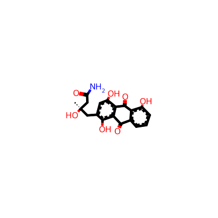 C[C@](O)(CC(N)=O)Cc1cc(O)c2c(c1O)C(=O)c1cccc(O)c1C2=O